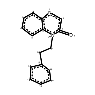 O=c1cnc2ccccc2n1CCc1ccccc1